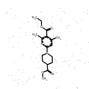 CCOC(=O)c1c(C)cc(N2CCC(C(=O)OC)CC2)nc1C